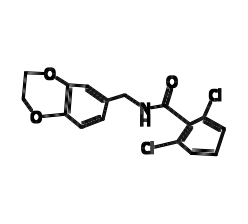 O=C(NCc1ccc2c(c1)OCCO2)c1c(Cl)cccc1Cl